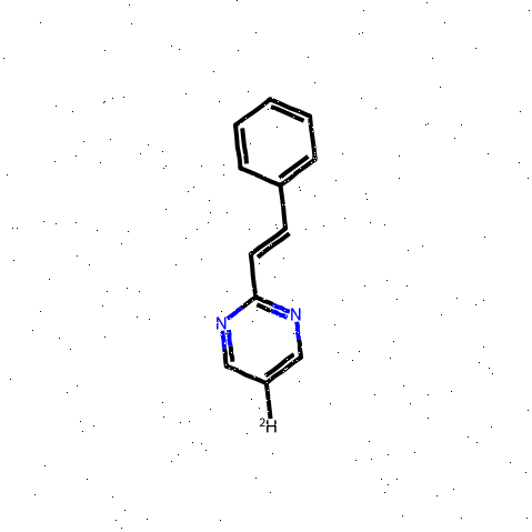 [2H]c1cnc(C=Cc2ccccc2)nc1